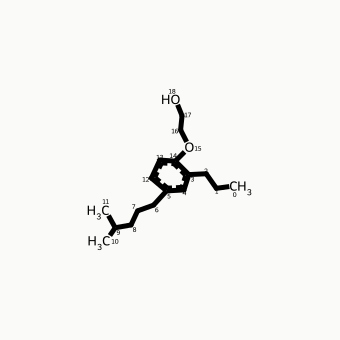 CCCc1cc(CCCC(C)C)ccc1OCCO